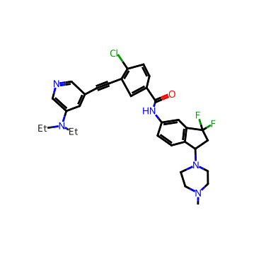 CCN(CC)c1cncc(C#Cc2cc(C(=O)Nc3ccc4c(c3)C(F)(F)CC4N3CCN(C)CC3)ccc2Cl)c1